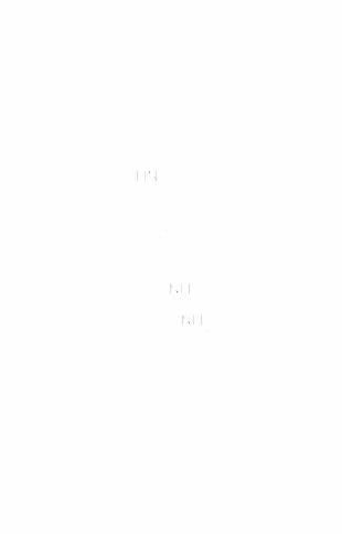 CC1=CC=C/C(=C/Nc2ccc(C3CCCNC3)cc2)C1N